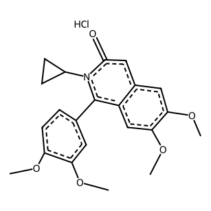 COc1ccc(-c2c3cc(OC)c(OC)cc3cc(=O)n2C2CC2)cc1OC.Cl